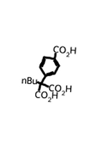 CCCCC(C(=O)O)(C(=O)O)c1ccc(C(=O)O)cc1